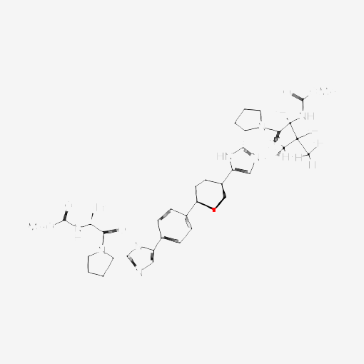 [2H]C([2H])([2H])C([2H])(C([2H])([2H])[2H])[C@@]([2H])(NC(=O)OC)C(=O)N1CCC[C@H]1c1ncc(C23CCC(c4ccc(-c5cnc([C@@H]6CCCN6C(=O)[C@@H](NC(=O)OC)C(C)C)[nH]5)cc4)(CC2)CC3)[nH]1